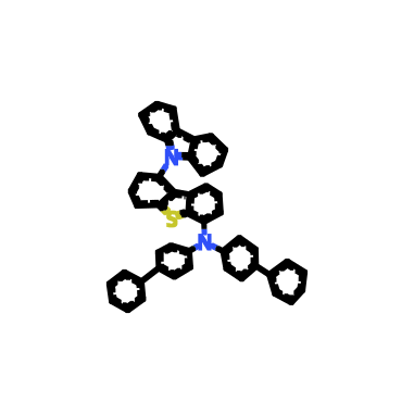 c1ccc(-c2ccc(N(c3ccc(-c4ccccc4)cc3)c3cccc4c3sc3cccc(-n5c6ccccc6c6ccccc65)c34)cc2)cc1